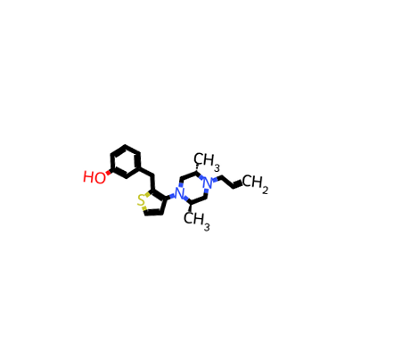 C=CCN1C[C@@H](C)N(c2ccsc2Cc2cccc(O)c2)C[C@@H]1C